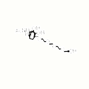 C#CCOCCOCCOCCOC[C@@]12CC[C@@H](O1)[C@H](NC(C)=O)[C@@H](O)[C@H]2O